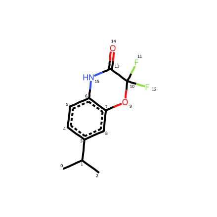 CC(C)c1ccc2c(c1)OC(F)(F)C(=O)N2